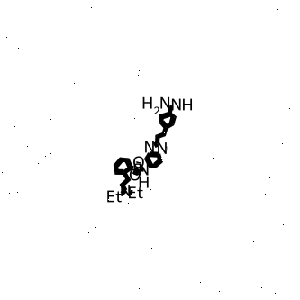 CCN(CC)CCc1ccccc1S(=O)(=O)Nc1ccc2c(c1)nc(CCc1ccc(C(=N)N)cc1)n2C